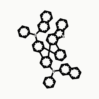 c1ccc(N(c2ccc3c(c2)C2(c4cc(N(c5ccccc5)c5ccc6ccccc6c5)ccc4-3)c3ccccc3-c3c2ccc2c3sc3ccccc32)c2ccc3ccccc3c2)cc1